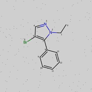 CCn1ncc(Br)c1-c1ccccc1